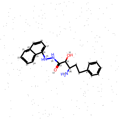 N[C@H](CCc1ccccc1)C(O)C(=O)NNc1cccc2ccccc12